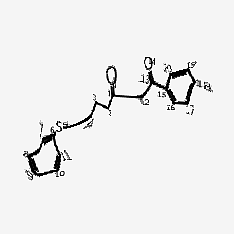 O=C(CCCSc1ccccc1)CC(=O)c1ccccc1